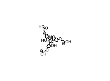 O=C(O)CCOc1ccc(-c2nc(-c3ccc(OCCC(=O)O)cc3O)nc(-c3ccc(OCCC(=O)O)cc3O)n2)c(O)c1